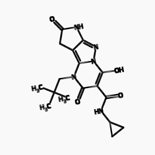 CC(C)(C)Cn1c(=O)c(C(=O)NC2CC2)c(O)n2nc3c(c12)CC(=O)N3